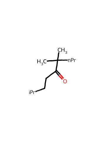 CCCC(C)(C)C(=O)CCC(C)C